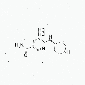 Cl.Cl.NC(=O)c1ccc(NC2CCNCC2)nc1